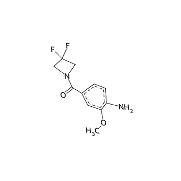 COc1cc(C(=O)N2CC(F)(F)C2)ccc1N